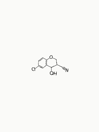 N#CC1COc2ccc(Cl)cc2C1O